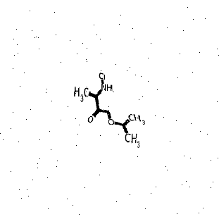 CC(C)OCC(=O)C(C)NCl